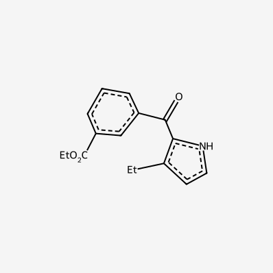 CCOC(=O)c1cccc(C(=O)c2[nH]ccc2CC)c1